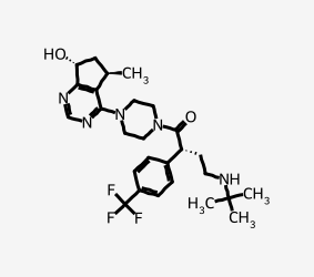 C[C@@H]1C[C@@H](O)c2ncnc(N3CCN(C(=O)[C@H](CCNC(C)(C)C)c4ccc(C(F)(F)F)cc4)CC3)c21